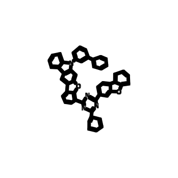 c1ccc(-c2cccc(-n3c4ccccc4c4cc5c(cc43)oc3c(-c4nc(-c6ccccc6)nc(-c6ccc7c(c6)oc6ccccc67)n4)cccc35)c2)cc1